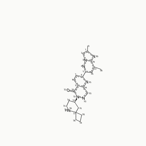 Cc1cn2nc(-c3ccc4c(=O)n([C@@H]5CCNC6(CCC6)C5)ncc4n3)cc(C)c2n1